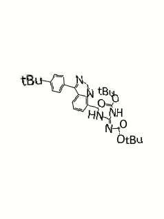 CC(C)(C)OC(=O)/N=C(/NCc1cccc2c(-c3ccc(C(C)(C)C)cc3)ncnc12)NC(=O)OC(C)(C)C